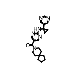 O=C(c1cnc(NC2(c3cncnc3)CC2)nc1)N1CCC2(CCCC2)CC1